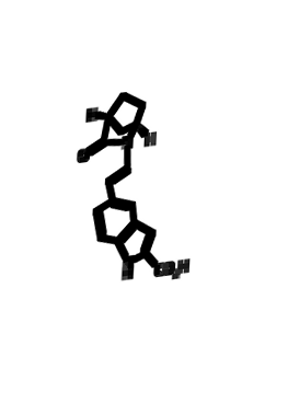 O=C(O)c1cc2cc(C=CN3C(=O)[C@@H]4CC[C@H]3C4)ccc2[nH]1